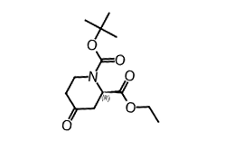 CCOC(=O)[C@H]1CC(=O)CCN1C(=O)OC(C)(C)C